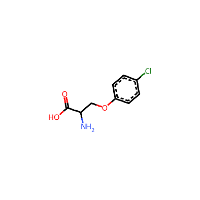 NC(COc1ccc(Cl)cc1)C(=O)O